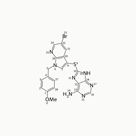 COc1ccc(Cn2cc(Sc3nc4c(N)ncnc4[nH]3)c3cc(Br)cnc32)cc1